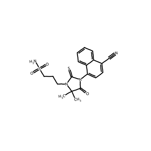 CC1(C)C(=O)N(c2ccc(C#N)c3ccccc23)C(=S)N1CCCS(N)(=O)=O